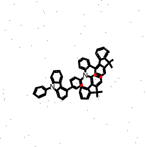 CC1(C)c2ccccc2-c2c(-c3ccccc3N(c3ccc(-c4cccc5c4c4ccccc4n5-c4ccccc4)cc3)c3cccc4c3-c3ccccc3C4(C)C)cccc21